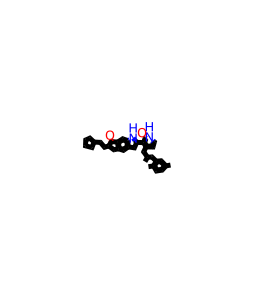 Cc1ccc(C)c(CC(C)Cc2cc[nH]c(=O)c2C2Cc3cc4c(cc3N2)C(=O)C(CCC2CCCC2)C4)c1